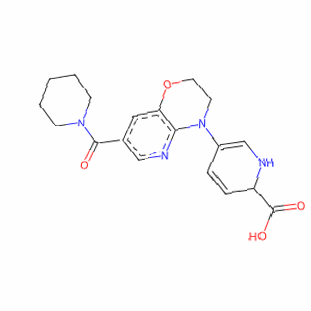 O=C(O)C1C=CC(N2CCOc3cc(C(=O)N4CCCCC4)cnc32)=CN1